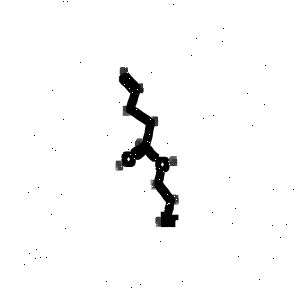 C=CCCC(=O)OCCBr